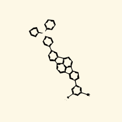 N#Cc1cc(C#N)cc(-c2ccc3c(c2)-c2ccc4c5c(ccc-3c25)-c2cc(-c3ccc(N(c5ccccc5)c5ccccc5)cc3)ccc2-4)c1